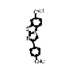 CCOc1ccc2c(c1)sc1nc(-c3ccc(OC(C)=O)cc3)cn12